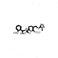 COc1ccccc1C(=O)N[C@]1(OC)ON2C(C(=O)O)=C(CSc3nnnn3C)CC[C@@H]21